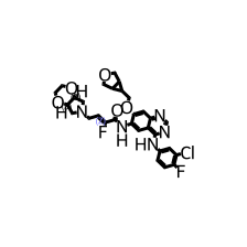 O=C(Nc1cc2c(Nc3ccc(F)c(Cl)c3)ncnc2cc1OCC1C2COCC21)/C(F)=C/CN1C[C@@H]2OCCO[C@H]2C1